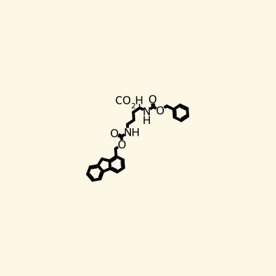 O=C(NCCC[C@@H](NC(=O)OCc1ccccc1)C(=O)O)OCc1cccc2c1Cc1ccccc1-2